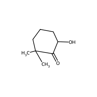 CC1(C)CCCC(O)C1=O